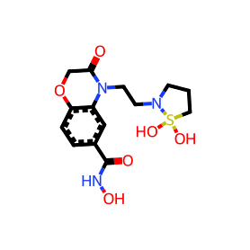 O=C(NO)c1ccc2c(c1)N(CCN1CCCS1(O)O)C(=O)CO2